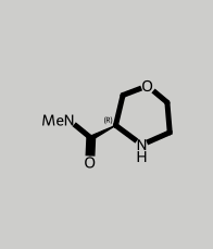 CNC(=O)[C@H]1COCCN1